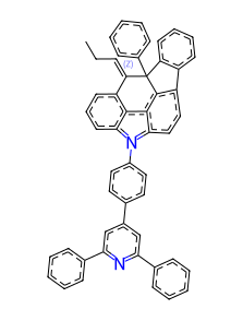 CC/C=C1\c2cccc3c2c2c4c(ccc2n3-c2ccc(-c3cc(-c5ccccc5)nc(-c5ccccc5)c3)cc2)-c2ccccc2C14c1ccccc1